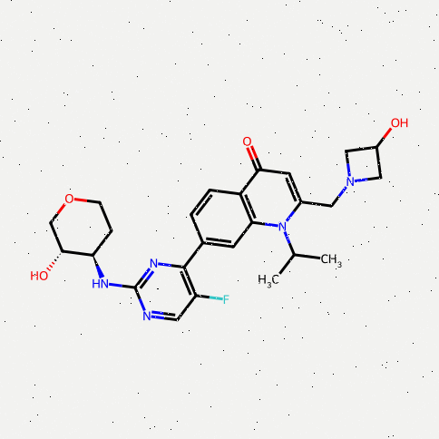 CC(C)n1c(CN2CC(O)C2)cc(=O)c2ccc(-c3nc(N[C@@H]4CCOC[C@H]4O)ncc3F)cc21